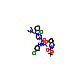 CCN(CC)CC(c1ccccc1Cl)N1CCN(C(=O)[C@@H](Cc2ccc(Cl)cc2)NC(=O)C[C@@H]2c3ccccc3CCN2C(=O)OC(C)(C)C)CC1